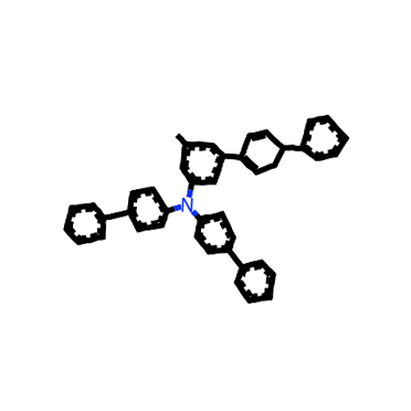 Cc1cc(C2=CCC(c3ccccc3)C=C2)cc(N(c2ccc(-c3ccccc3)cc2)c2ccc(-c3ccccc3)cc2)c1